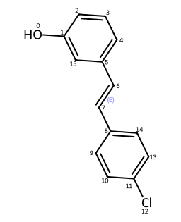 Oc1cccc(/C=C/c2ccc(Cl)cc2)c1